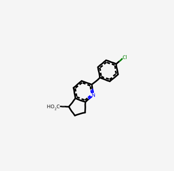 O=C(O)C1CCc2nc(-c3ccc(Cl)cc3)ccc21